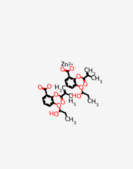 C=C(C)C(=O)Oc1c(OC(O)CC)cccc1C(=O)[O-].C=C(C)C(=O)Oc1c(OC(O)CC)cccc1C(=O)[O-].[Zn+2]